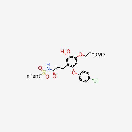 CCCCCS(=O)(=O)NC(=O)CCc1ccc(OCCOC)cc1Oc1ccc(Cl)cc1.O